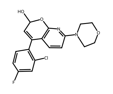 OC1C=C(c2ccc(F)cc2Cl)c2ccc(N3CCOCC3)nc2O1